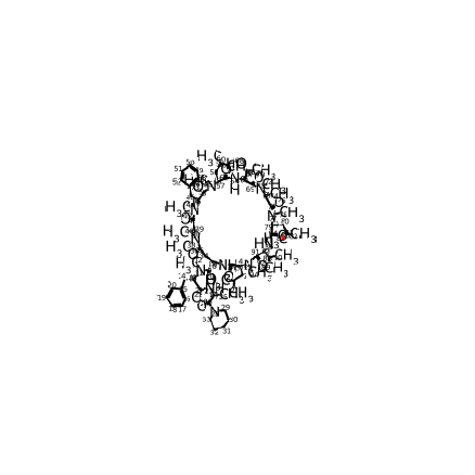 CC(C)C[C@H]1C(=O)N[C@H](C(=O)N(C)[C@@H](Cc2ccccc2)C(=O)N[C@@H](C)C(=O)N2CCCCC2)CC(=O)N(C)[C@H](C)C(=O)N(C)[C@@H](Cc2ccccc2)C(=O)N(C)[C@@H](CC(C)C)C(=O)N[C@@H]([C@@H](C)O)C(=O)N(C)[C@@H](C)C(=O)N(C)[C@@H](CC(C)C)C(=O)N[C@@H](C(C)C)C(=O)N1C